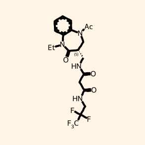 CCN1C(=O)[C@@H](CNC(=O)CC(=O)NCC(F)(F)C(F)(F)F)CN(C(C)=O)c2ccccc21